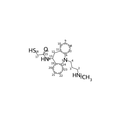 CNCCCN1c2ccccc2CC(NC(=O)CS)c2ccccc21